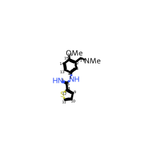 CNCc1cc(NC(=N)c2cccs2)ccc1OC